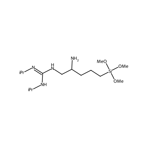 CO[Si](CCCC(N)CNC(=NC(C)C)NC(C)C)(OC)OC